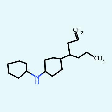 C=CCC(CCC)C1CCC(NC2CCCCC2)CC1